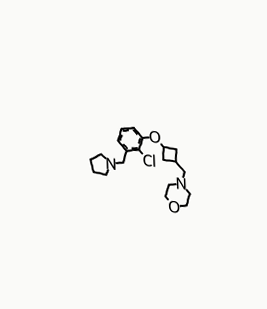 Clc1c(CN2CCCC2)cccc1OC1CC(CN2CCOCC2)C1